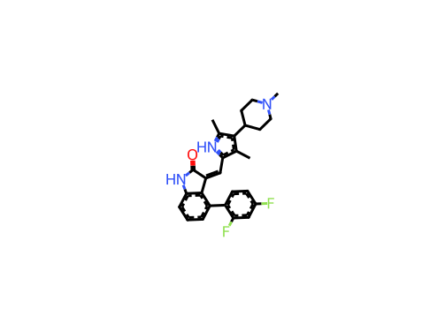 Cc1[nH]c(/C=C2\C(=O)Nc3cccc(-c4ccc(F)cc4F)c32)c(C)c1C1CCN(C)CC1